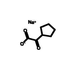 O=C([O-])C(=O)C1CCCC1.[Na+]